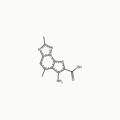 Cc1nc2cc(C)c3c(N)c(C(=O)O)sc3n2n1